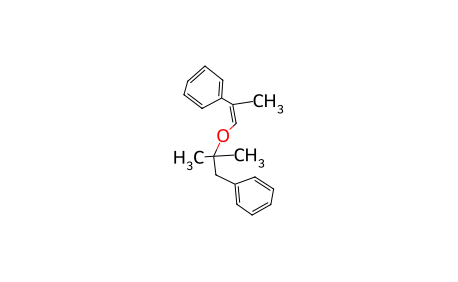 CC(=COC(C)(C)Cc1ccccc1)c1ccccc1